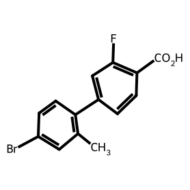 Cc1cc(Br)ccc1-c1ccc(C(=O)O)c(F)c1